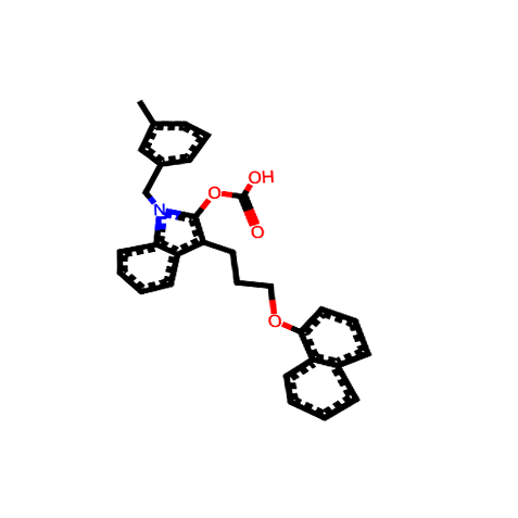 Cc1cccc(Cn2c(OC(=O)O)c(CCCOc3cccc4ccccc34)c3ccccc32)c1